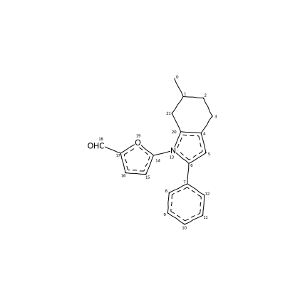 CC1CCc2cc(-c3ccccc3)n(-c3ccc(C=O)o3)c2C1